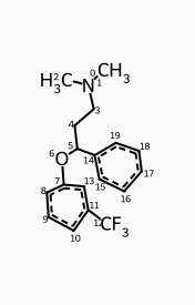 CN(C)CCC(Oc1cccc(C(F)(F)F)c1)c1ccccc1